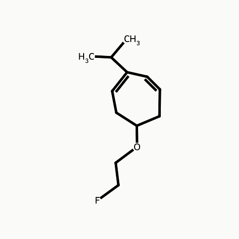 CC(C)C1=CCC(OCCF)CC=C1